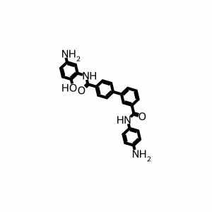 Nc1ccc(NC(=O)c2cccc(-c3ccc(C(=O)Nc4cc(N)ccc4O)cc3)c2)cc1